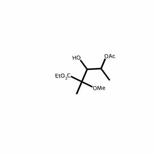 CCOC(=O)C(C)(OC)C(O)C(C)OC(C)=O